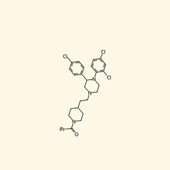 CC(C)C(=O)N1CCC(CCN2CCN(c3ccc(Cl)cc3Cl)C(c3ccc(Cl)cc3)C2)CC1